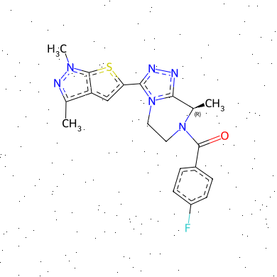 Cc1nn(C)c2sc(-c3nnc4n3CCN(C(=O)c3ccc(F)cc3)[C@@H]4C)cc12